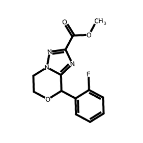 COC(=O)c1nc2n(n1)CCOC2c1ccccc1F